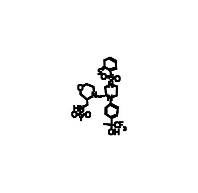 C[C@@](O)(c1ccc(N2CCN(S(=O)(=O)C3=CC=CCC3=S)C[C@@H]2CN2CCOC[C@@H]2CNS(C)(=O)=O)cc1)C(F)(F)F